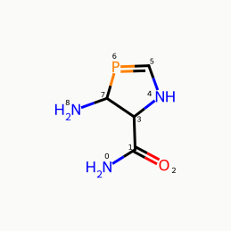 NC(=O)C1NC=PC1N